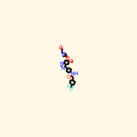 COCCN1CC(Oc2cc3ncnc(-c4ccc(NC(=O)Cc5ccc(C(F)(F)F)cc5)cc4)c3cc2OC)C1